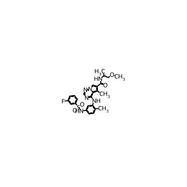 COC[C@H](C)NC(=O)c1cn2ncnc(Nc3cc(NS(=O)(=O)c4cccc(F)c4)ccc3C)c2c1C